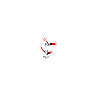 O=[SiH][O-].O=[SiH][O-].[Ca+2]